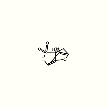 Cc1c2oc3c1OS(=O)(=O)C3(C#N)C2